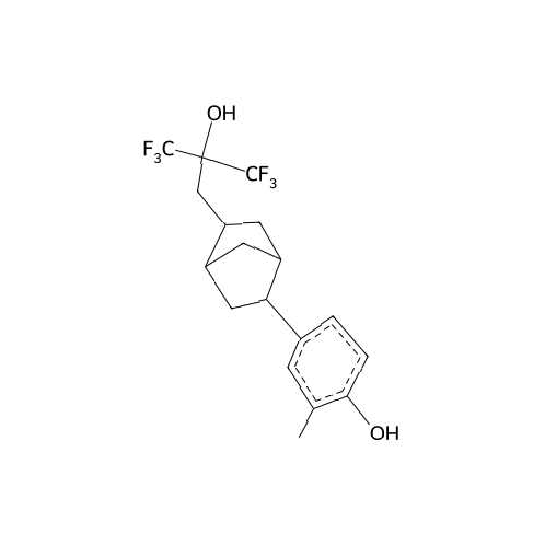 Cc1cc(C2CC3CC2CC3CC(O)(C(F)(F)F)C(F)(F)F)ccc1O